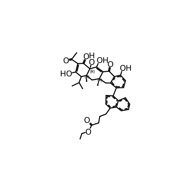 CCOC(=O)CCCc1ccc(-c2ccc(O)c3c2C[C@]2(C)C[C@]4(C)C(C(C)C)C(O)=C(C(C)=O)C(=O)[C@]4(O)C(O)=C2C3=O)c2ccccc12